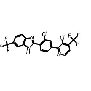 FC(F)(F)c1ccc2nc(-c3ccc(-c4nccc(C(F)(F)F)c4Cl)cc3Cl)[nH]c2c1